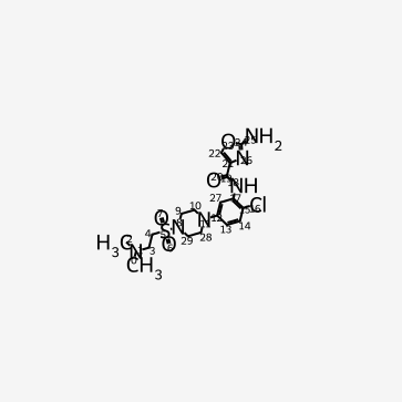 CN(C)CCS(=O)(=O)N1CCN(c2ccc(Cl)c(NC(=O)c3coc(N)n3)c2)CC1